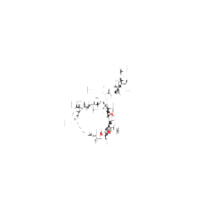 CCSCC(=O)OCC(C)(CO)C(=O)O[C@@H]1CC[C@@H](C[C@@H](C)[C@@H]2CC(=O)[C@H](C)/C=C(\C)[C@@H](O)[C@@H](OC)C(=O)[C@H](C)C[C@H](C)/C=C/C=C/C=C(\C)[C@@H](OC)C[C@@H]3CC[C@@H](C)[C@@](O)(O3)C(=O)C(=O)N3CCCC[C@H]3C(=O)O2)C[C@H]1OC